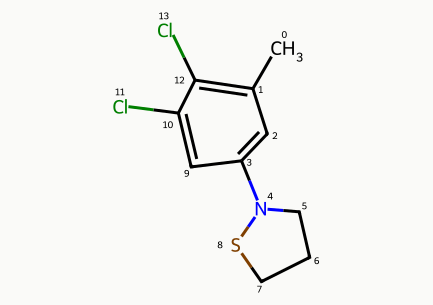 Cc1cc(N2CCCS2)cc(Cl)c1Cl